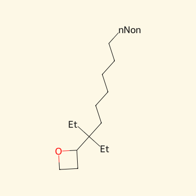 CCCCCCCCCCCCCCCC(CC)(CC)C1CCO1